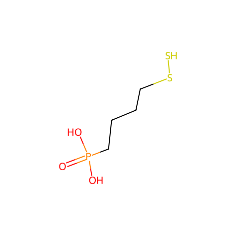 O=P(O)(O)CCCCSS